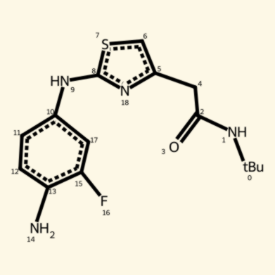 CC(C)(C)NC(=O)Cc1csc(Nc2ccc(N)c(F)c2)n1